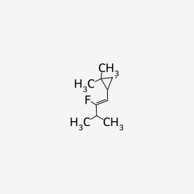 CC(C)C(F)=CC1[CH]C1(C)C